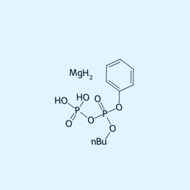 CCCCOP(=O)(Oc1ccccc1)OP(=O)(O)O.[MgH2]